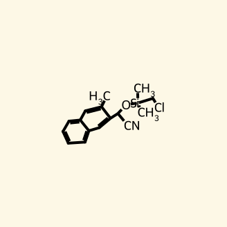 Cc1cc2ccccc2cc1C(C#N)O[Si](C)(C)CCl